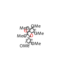 COc1ccc(-c2oc3c(OC)cc(OC)c(OC)c3c(=O)c2OC)cc1OC